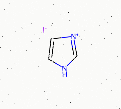 C1=CNC=[N+]1.[I-]